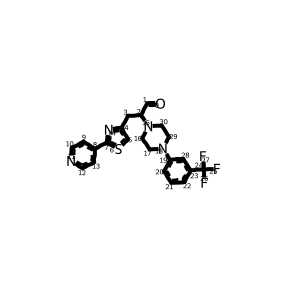 O=CC(Cc1csc(-c2ccncc2)n1)N1CCN(c2cccc(C(F)(F)F)c2)CC1